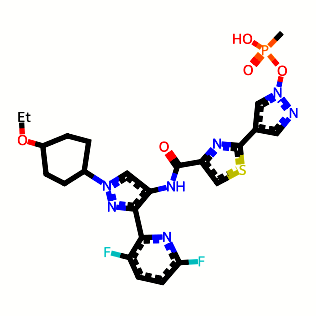 CCOC1CCC(n2cc(NC(=O)c3csc(-c4cnn(OP(C)(=O)O)c4)n3)c(-c3nc(F)ccc3F)n2)CC1